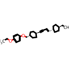 CCOc1ccc(OC[C@H]2CC[C@H](C#CC=C[C@H]3CC[C@H](CC)CC3)CC2)cc1